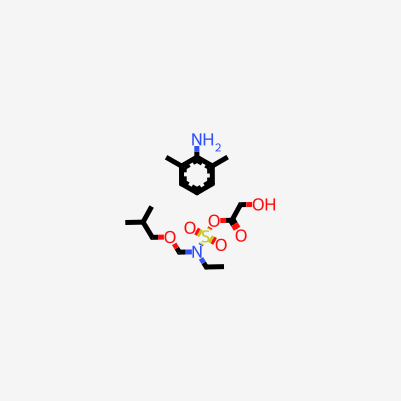 CCN(COCC(C)C)S(=O)(=O)OC(=O)CO.Cc1cccc(C)c1N